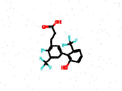 O=C(O)CCc1cc(-c2c(O)cccc2C(F)(F)F)cc(C(F)(F)F)c1F